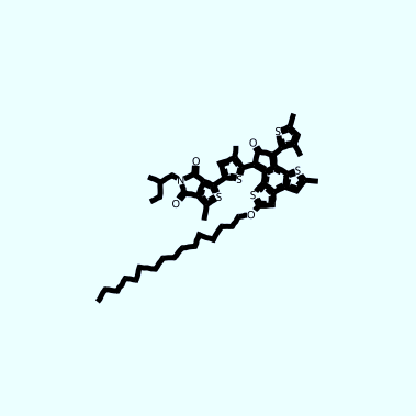 CCCCCCCCCCCCCCCCOc1cc2c(s1)c1c(c3sc(C)cc32)=C(c2sc(C)cc2C)C(=O)C=1c1sc(-c2sc(C)c3c2C(=O)N(CC(C)CC)C3=O)cc1C